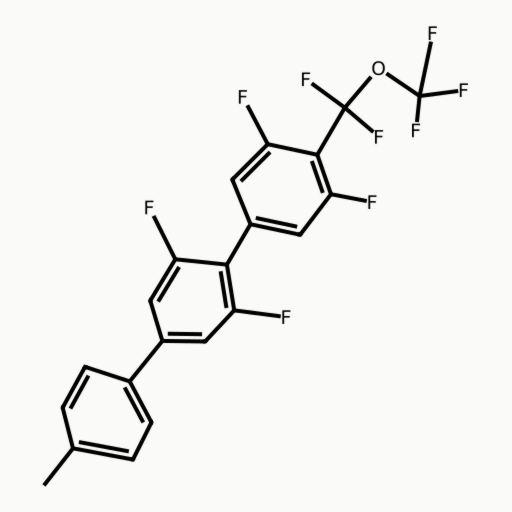 Cc1ccc(-c2cc(F)c(-c3cc(F)c(C(F)(F)OC(F)(F)F)c(F)c3)c(F)c2)cc1